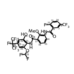 COc1c(NC(=O)c2cc(C(F)(F)F)ccc2F)cccc1C(=O)Nc1c(O)cc(C(F)(C(F)(F)F)C(F)(F)F)cc1OC(F)F